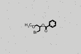 COCC(CBr)OC(=O)c1ccccc1